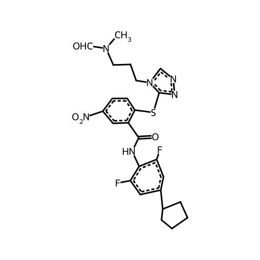 CN(C=O)CCCn1cnnc1Sc1ccc([N+](=O)[O-])cc1C(=O)Nc1c(F)cc(C2CCCC2)cc1F